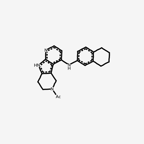 CC(=O)N1CCc2[nH]c3nccc(Nc4ccc5c(c4)CCCC5)c3c2C1